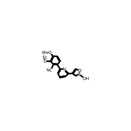 CCOc1c(OC)ccc(-c2cccc(C3=COB(O)C3)n2)c1C#N